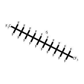 FC(F)(F)C(F)(F)C(F)(F)C(F)(F)C(F)(F)C(F)(F)C(F)(F)C(F)(F)C(F)(F)C(F)(F)C(F)(F)C(F)(F)F.[S]